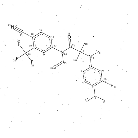 CC(C)c1ccc(N(C)C(C)(C)C(=O)N(C=S)c2ccc(C#N)c(C(F)(F)F)c2)cc1F